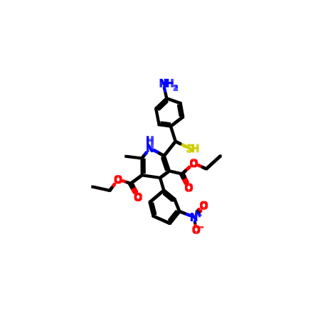 CCOC(=O)C1=C(C)NC(C(S)c2ccc(N)cc2)=C(C(=O)OCC)C1c1cccc([N+](=O)[O-])c1